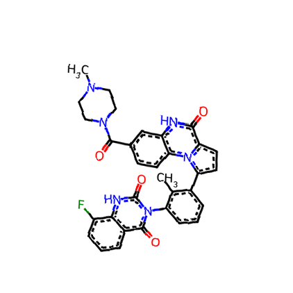 Cc1c(-c2ccc3c(=O)[nH]c4cc(C(=O)N5CCN(C)CC5)ccc4n23)cccc1-n1c(=O)[nH]c2c(F)cccc2c1=O